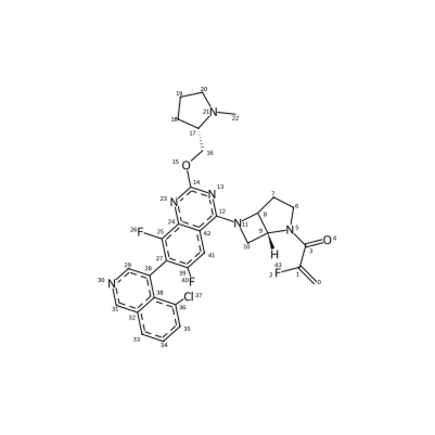 C=C(F)C(=O)N1CCC2[C@H]1CN2c1nc(OC[C@@H]2CCCN2C)nc2c(F)c(-c3cncc4cccc(Cl)c34)c(F)cc12